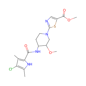 COC(=O)c1cnc(N2CCC(NC(=O)c3[nH]c(C)c(Cl)c3C)C(OC)C2)s1